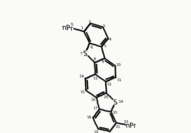 CCCc1cccc2c1sc1c2ccc2c1ccc1c3cccc(CCC)c3sc12